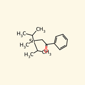 C[CH](C)[Sn]([CH3])([CH2]C(=O)c1ccccc1)[CH](C)C